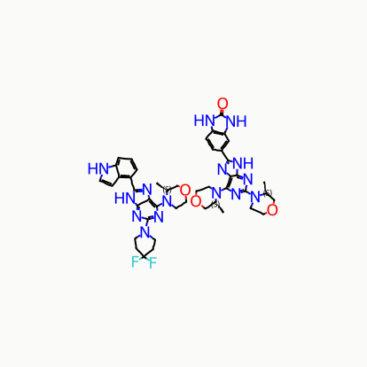 C[C@H]1COCCN1c1nc(N2CCC(F)(F)CC2)nc2[nH]c(-c3cccc4[nH]ccc34)nc12.C[C@H]1COCCN1c1nc(N2CCOC[C@@H]2C)c2nc(-c3ccc4[nH]c(=O)[nH]c4c3)[nH]c2n1